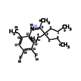 CCCC(C)(CCC)/C(C)=N\c1cc(F)c(F)cc1C